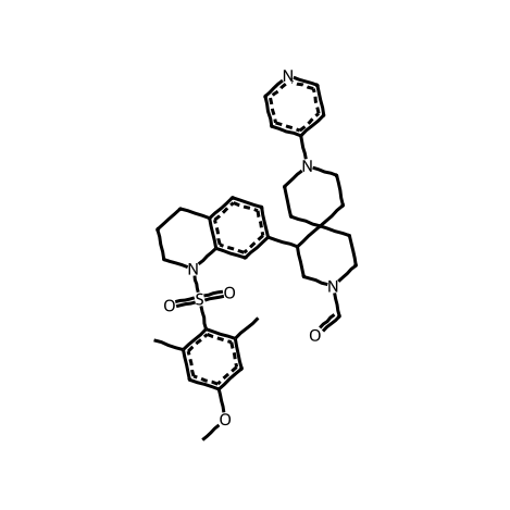 COc1cc(C)c(S(=O)(=O)N2CCCc3ccc(C4CN(C=O)CCC45CCN(c4ccncc4)CC5)cc32)c(C)c1